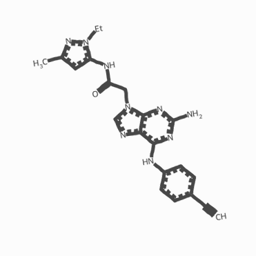 C#Cc1ccc(Nc2nc(N)nc3c2ncn3CC(=O)Nc2cc(C)nn2CC)cc1